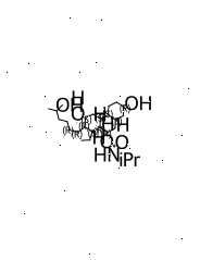 CC(O)CC[C@@H](C)[C@H]1CC[C@H]2[C@@H]3[C@H](OC(=O)NC(C)C)C[C@@H]4C[C@H](O)CC[C@]4(C)[C@H]3C[C@H](O)[C@]12C